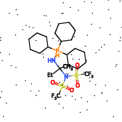 CCC(C)(N[PH](C1CCCCC1)(C1CCCCC1)C1CCCCC1)N(S(=O)(=O)C(F)(F)F)S(=O)(=O)C(F)(F)F